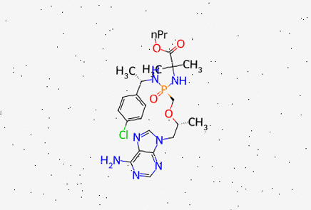 CCCOC(=O)C(C)(C)N[P@@](=O)(CO[C@H](C)Cn1cnc2c(N)ncnc21)N[C@@H](C)c1ccc(Cl)cc1